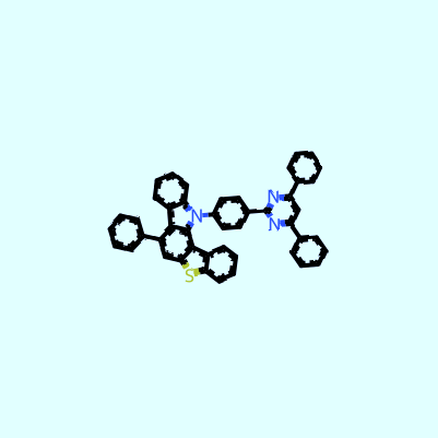 c1ccc(-c2cc(-c3ccccc3)nc(-c3ccc(-n4c5ccccc5c5c(-c6ccccc6)cc6sc7ccccc7c6c54)cc3)n2)cc1